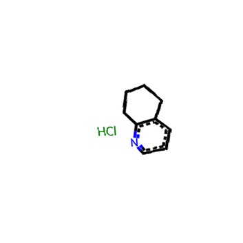 Cl.c1cnc2c(c1)CCCC2